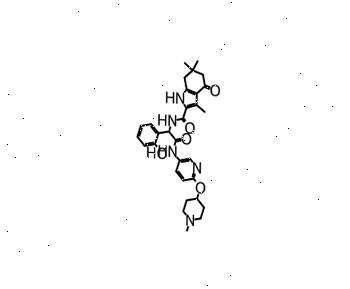 Cc1c(C(=O)NC(C(=O)Nc2ccc(OC3CCN(C)CC3)nc2)c2ccccc2O)[nH]c2c1C(=O)CC(C)(C)C2